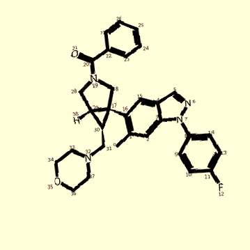 Cc1cc2c(cnn2-c2ccc(F)cc2)cc1[C@]12CN(C(=O)c3ccccc3)C[C@H]1[C@@H]2CN1CCOCC1